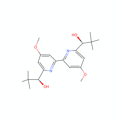 COc1cc(-c2cc(OC)cc([C@@H](O)C(C)(C)C)n2)nc([C@@H](O)C(C)(C)C)c1